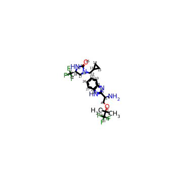 CC(C)(OC[C@H](N)c1nc2cc([C@@H](C3CC3)N3C[C@@H](C(F)(F)F)NC3=O)ccc2[nH]1)C(F)(F)F